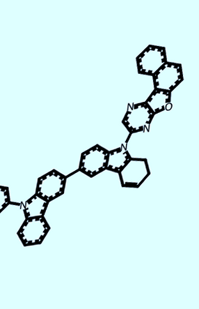 C1=Cc2c(n(-c3cnc4c(n3)oc3ccc5ccccc5c34)c3ccc(-c4ccc5c(c4)c4ccccc4n5-c4ccccc4)cc23)CC1